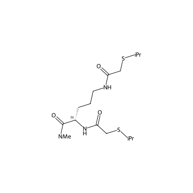 CNC(=O)[C@H](CCCNC(=O)CSC(C)C)NC(=O)CSC(C)C